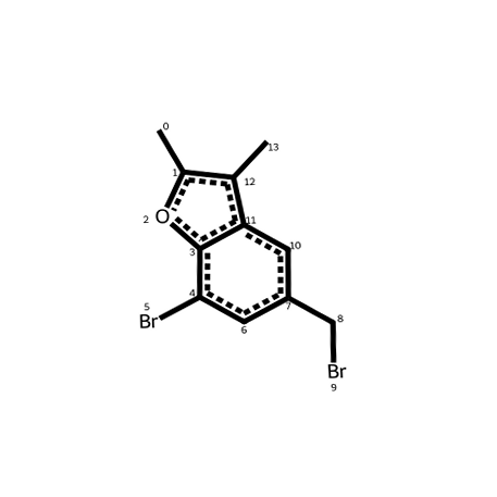 Cc1oc2c(Br)cc(CBr)cc2c1C